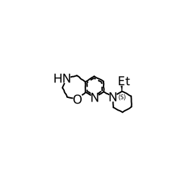 CC[C@H]1CCCCN1c1ccc2c(n1)OCCNC2